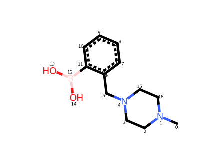 CN1CCN(Cc2ccccc2B(O)O)CC1